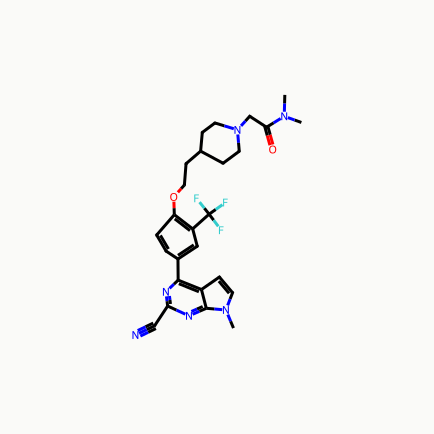 CN(C)C(=O)CN1CCC(CCOc2ccc(-c3nc(C#N)nc4c3ccn4C)cc2C(F)(F)F)CC1